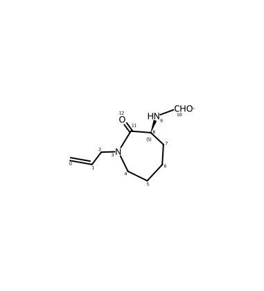 C=CCN1CCCC[C@H](N[C]=O)C1=O